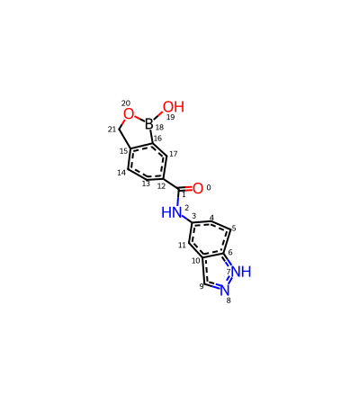 O=C(Nc1ccc2[nH]ncc2c1)c1ccc2c(c1)B(O)OC2